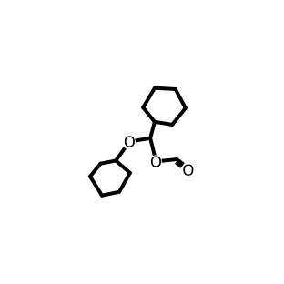 O=COC(OC1CCCCC1)C1CCCCC1